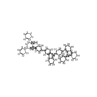 C1=CCCC(C2CC(C3C=CC=CC3)NC(c3ccc(-c4ccc5c(c4)c4ccccc4n5-c4ccc(-c5cccc6c7c(n(-c8ccccc8)c56)C=CCC7)cc4)cc3)N2)=C1